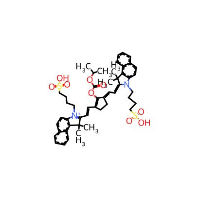 CC(C)OC(=O)OC1=C(/C=C/C2=[N+](CCCCS(=O)(=O)O)c3ccc4ccccc4c3C2(C)C)CC/C1=C\C=C1\N(CCCCS(=O)(=O)O)c2ccc3ccccc3c2C1(C)C